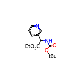 CCOC(=O)C(NC(=O)OC(C)(C)C)c1cccnc1